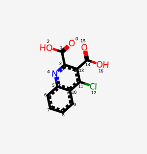 O=C(O)c1nc2ccccc2c(Cl)c1C(=O)O